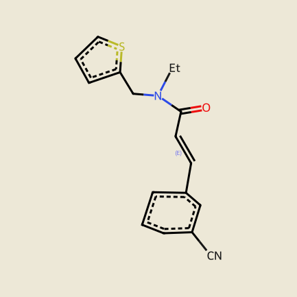 CCN(Cc1cccs1)C(=O)/C=C/c1cccc(C#N)c1